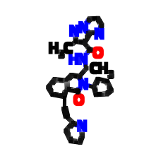 Cc1nn2cccnc2c1C(=O)N[C@H](C)c1cc2cccc(C#Cc3ccccn3)c2c(=O)n1-c1ccccc1